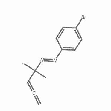 [CH2]C(C)(C=C=C)N=Nc1ccc(Br)cc1